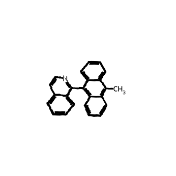 Cc1c2ccccc2c(-c2nccc3ccccc23)c2ccccc12